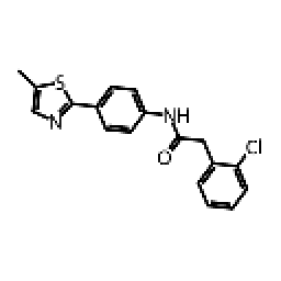 Cc1cnc(-c2ccc(NC(=O)Cc3ccccc3Cl)cc2)s1